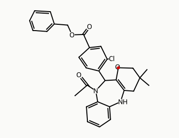 CC(=O)N1c2ccccc2NC2=C(C(=O)CC(C)(C)C2)C1c1ccc(C(=O)OCc2ccccc2)cc1Cl